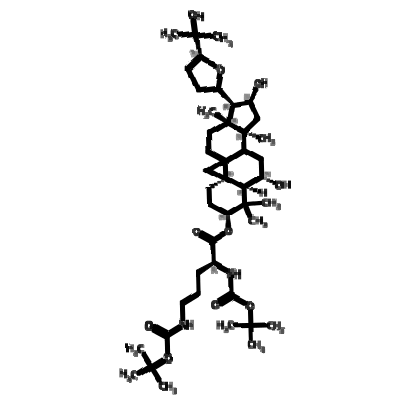 CC(C)(C)OC(=O)NCCC[C@H](NC(=O)OC(C)(C)C)C(=O)O[C@H]1CC[C@]23CC24CC[C@]2(C)[C@@H](C5CC[C@@H](C(C)(C)O)O5)[C@@H](O)C[C@@]2(C)C4C[C@H](O)[C@H]3C1(C)C